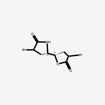 CC(C)C1C[C@@H]([C@@H]2CC(C(C)C)C(=O)O2)NC1=O